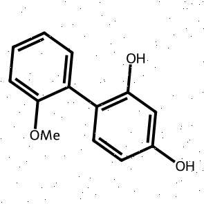 COc1ccccc1-c1ccc(O)cc1O